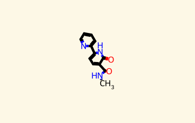 CNC(=O)c1ccc(-c2ccccn2)[nH]c1=O